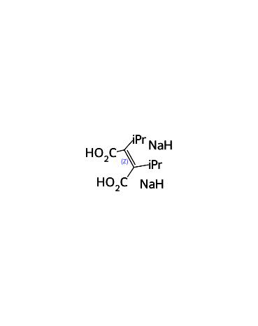 CC(C)/C(C(=O)O)=C(/C(=O)O)C(C)C.[NaH].[NaH]